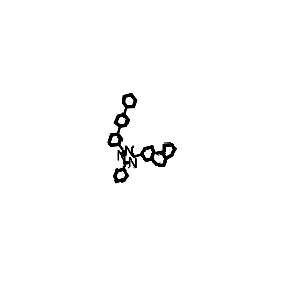 c1ccc(-c2ccc(-c3cccc(-c4nc(-c5ccccc5)nc(-c5ccc6c(ccc7ccccc76)c5)n4)c3)cc2)cc1